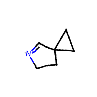 C1=[N+]CCC12CC2